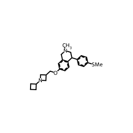 CSc1ccc(C2CN(C)Cc3cc(OCC4CN(C5CCC5)C4)ccc32)cc1